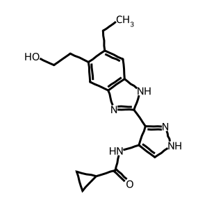 CCc1cc2[nH]c(-c3n[nH]cc3NC(=O)C3CC3)nc2cc1CCO